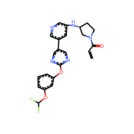 C=CC(=O)N1CC[C@H](Nc2cncc(-c3cnc(Oc4cccc(OC(F)F)c4)nc3)c2)C1